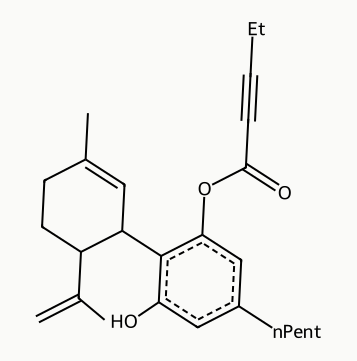 C=C(C)C1CCC(C)=CC1c1c(O)cc(CCCCC)cc1OC(=O)C#CCC